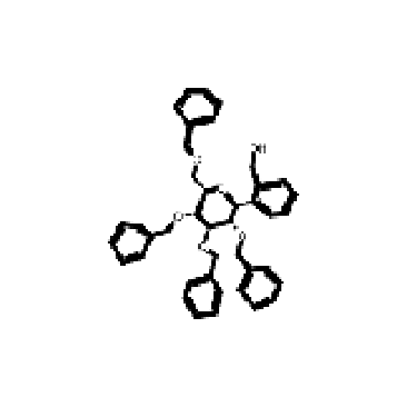 OCc1ccccc1[C@@H]1O[C@H](COCc2ccccc2)[C@@H](OCc2ccccc2)[C@H](OCc2ccccc2)[C@H]1OCc1ccccc1